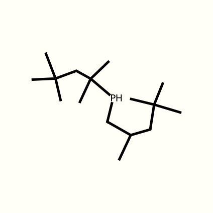 CC(CPC(C)(C)CC(C)(C)C)CC(C)(C)C